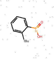 CC(C)(C)c1ccccc1[PH](=O)O